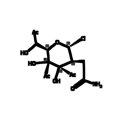 CC(=O)C(O)[C@H]1O[C@H](Cl)[C@@H](CC(N)=O)[C@](O)(C(C)=O)[C@@]1(O)C(C)=O